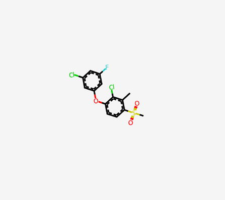 Cc1c(S(C)(=O)=O)ccc(Oc2cc(F)cc(Cl)c2)c1Cl